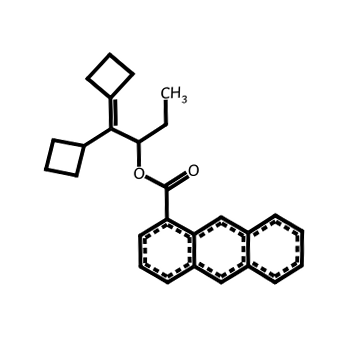 CCC(OC(=O)c1cccc2cc3ccccc3cc12)C(=C1CCC1)C1CCC1